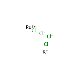 [Cl-].[Cl-].[Cl-].[Cl-].[K+].[Ru+3]